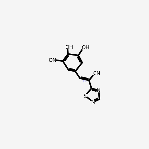 N#C/C(=C\c1cc(O)c(O)c(N=O)c1)c1ncns1